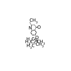 CCC1=Nc2ccc(O[Si](C)(C)C(C)(C)C)cc2C(=O)C1